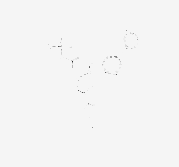 CC(C)(C)OC(=O)O[C@H]1CN(C(=O)OC(C)(C)C)[C@@H](Cc2ccc(-c3cnco3)cc2)[C@@H]1O